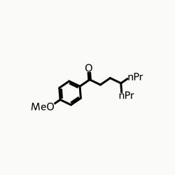 CCCC(CCC)CCC(=O)c1ccc(OC)cc1